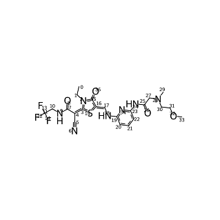 CCn1c(=C(C#N)C(=O)NCC(F)(F)F)sc(=CNc2cccc(NC(=O)CN(C)CCOC)n2)c1=O